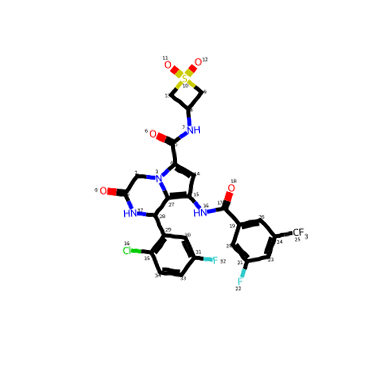 O=C1Cn2c(C(=O)NC3CS(=O)(=O)C3)cc(NC(=O)c3cc(F)cc(C(F)(F)F)c3)c2C(c2cc(F)ccc2Cl)N1